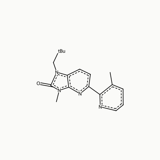 Cc1cccnc1-c1ccc2c(n1)n(C)c(=O)n2CC(C)(C)C